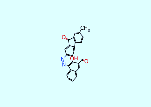 Cc1ccc2c(c1)C(=O)c1cc(/N=N\c3c(O)c(C=O)cc4ccccc34)ccc1-2